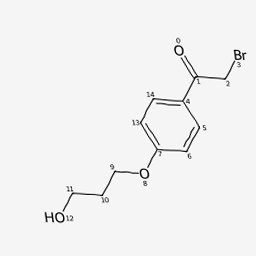 O=C(CBr)c1ccc(OCCCO)cc1